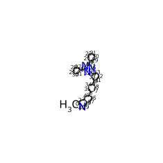 Cc1cc2cc(-c3ccc(-c4cccc(-c5nc(-c6ccccc6)nc(-c6ccccc6)n5)c4)cc3)ccc2cn1